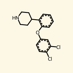 Clc1ccc(Oc2ccccc2C2CCNCC2)cc1Cl